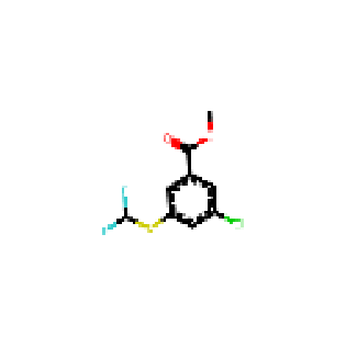 COC(=O)c1cc(Cl)cc(SC(F)F)c1